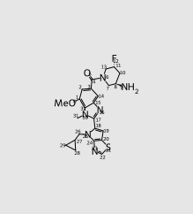 COc1cc(C(=O)N2C[C@H](N)C[C@@H](F)C2)cc2nc(-c3cc4scnc4n3CC3CC3)n(C)c12